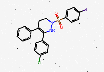 O=S(=O)(c1ccc(I)cc1)N1CCC(c2ccccc2)=C(c2ccc(Cl)cc2)N1